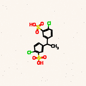 CC(c1ccc(Cl)c(S(=O)(=O)O)c1)c1ccc(Cl)c(S(=O)(=O)O)c1